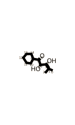 CC(C)=C(O)C(O)C(=O)C1CCCCC1